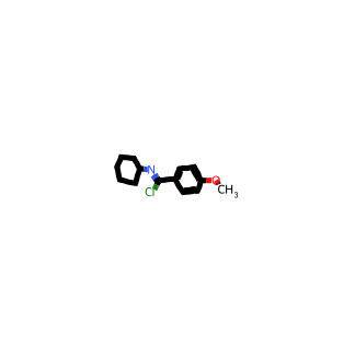 COc1ccc(C(Cl)=NC2CCCCC2)cc1